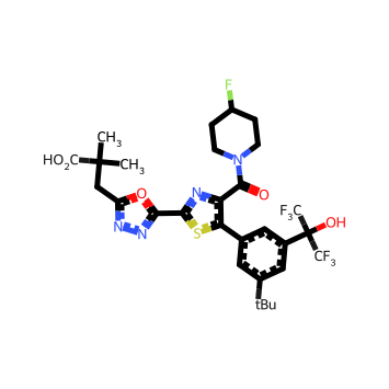 CC(C)(Cc1nnc(-c2nc(C(=O)N3CCC(F)CC3)c(-c3cc(C(C)(C)C)cc(C(O)(C(F)(F)F)C(F)(F)F)c3)s2)o1)C(=O)O